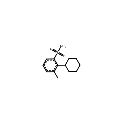 Cc1cccc(S(N)(=O)=O)c1C1CCCCC1